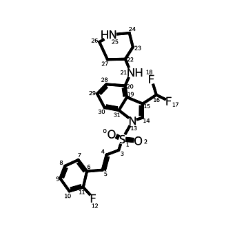 O=S(=O)(CC=Cc1ccccc1F)n1cc(C(F)F)c2c(NC3CCNCC3)cccc21